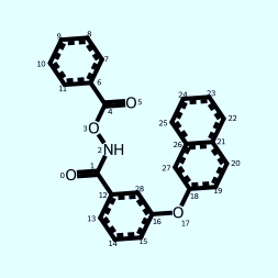 O=C(NOC(=O)c1ccccc1)c1cccc(Oc2ccc3ccccc3c2)c1